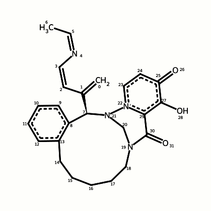 C=C(/C=C\N=C/C)[C@@H]1c2ccccc2CCCCCN2CN1n1ccc(=O)c(O)c1C2=O